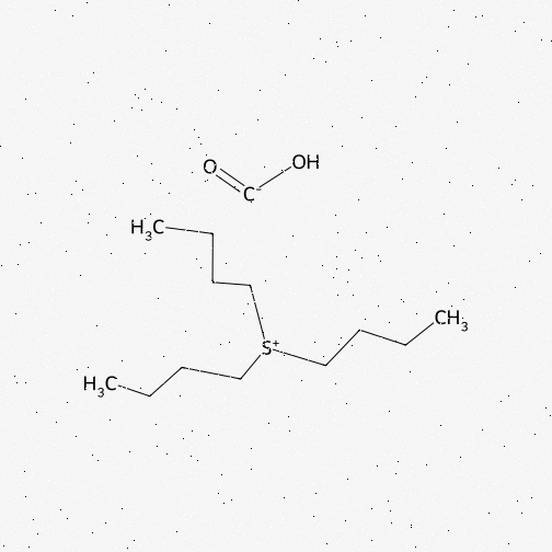 CCCC[S+](CCCC)CCCC.O=[C-]O